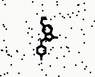 CN1CCC(Sc2cn(C)c3ccc(CO)cc23)CC1